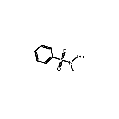 CC(C)(C)N(F)S(=O)(=O)c1ccccc1